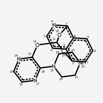 c1cc2c3ccnc(c3c1)OC(Oc1nccnc1N1CCNCC1)C2